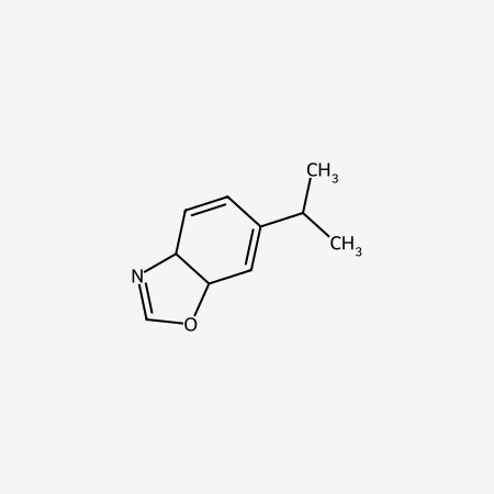 CC(C)C1=CC2OC=NC2C=C1